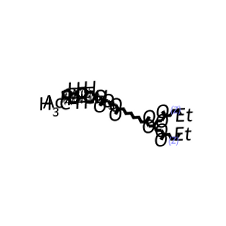 CC/C=C\CC(=O)OCC(COC(=O)C/C=C\CC)OC(=O)CCCCCCC(=O)OCOC(=O)O[C@@H]1CC[C@@]2(C)[C@@H](CC[C@@H]3[C@@H]2CC[C@]2(C)[C@@H](C(C)=O)CC[C@@H]32)C1